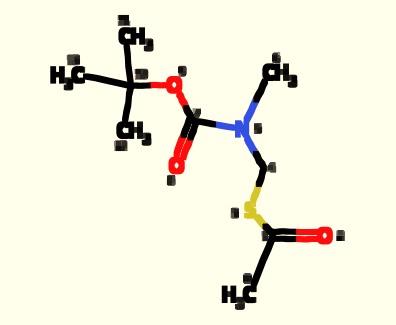 CC(=O)SCN(C)C(=O)OC(C)(C)C